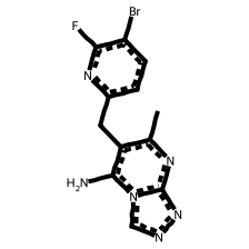 Cc1nc2nncn2c(N)c1Cc1ccc(Br)c(F)n1